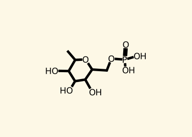 CC1OC(COP(=O)(O)O)C(O)C(O)C1O